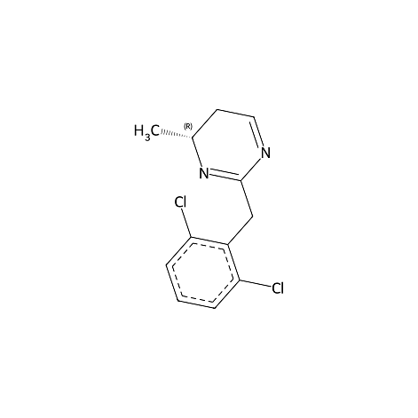 C[C@@H]1CC=NC(Cc2c(Cl)cccc2Cl)=N1